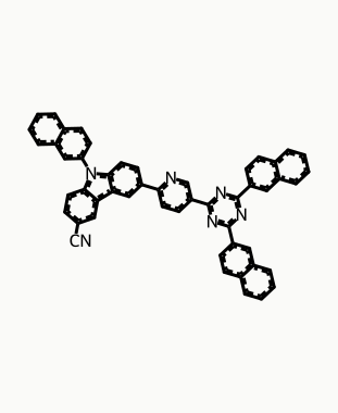 N#Cc1ccc2c(c1)c1cc(-c3ccc(-c4nc(-c5ccc6ccccc6c5)nc(-c5ccc6ccccc6c5)n4)cn3)ccc1n2-c1ccc2ccccc2c1